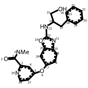 CNC(=O)c1cc(Oc2ccc3nc(NC(CO)Cc4ccccc4)oc3c2)ccn1